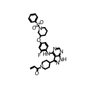 C=CC(=O)N1CCC(c2n[nH]c3ncnc(Nc4ccc(OC5CCCN(S(=O)(=O)c6ccccc6)C5)cc4F)c23)CC1